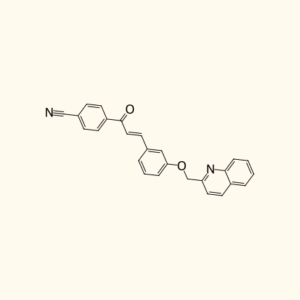 N#Cc1ccc(C(=O)/C=C/c2cccc(OCc3ccc4ccccc4n3)c2)cc1